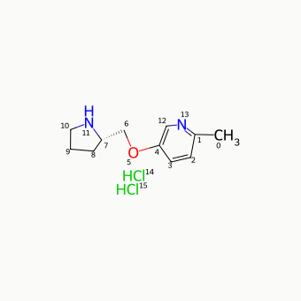 Cc1ccc(OC[C@@H]2CCCN2)cn1.Cl.Cl